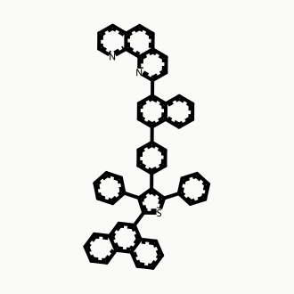 c1ccc(-c2sc(-c3cc4ccccc4c4ccccc34)c(-c3ccccc3)c2-c2ccc(-c3ccc(-c4ccc5ccc6cccnc6c5n4)c4ccccc34)cc2)cc1